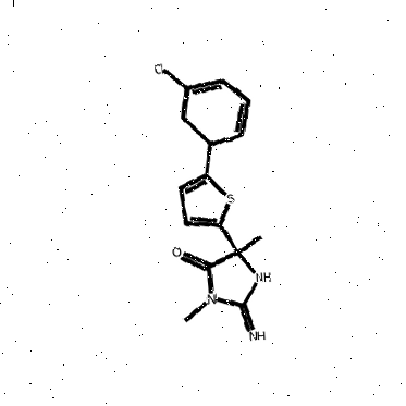 CN1C(=N)NC(C)(c2ccc(C3C=CC=C(Cl)C3)s2)C1=O